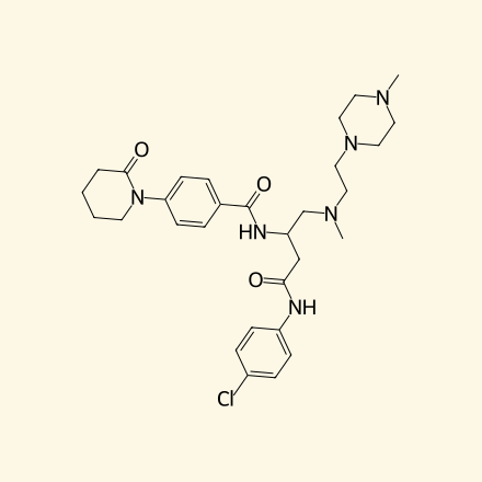 CN1CCN(CCN(C)CC(CC(=O)Nc2ccc(Cl)cc2)NC(=O)c2ccc(N3CCCCC3=O)cc2)CC1